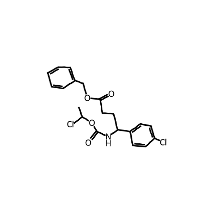 CC(Cl)OC(=O)NC(CCC(=O)OCc1ccccc1)c1ccc(Cl)cc1